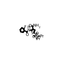 CC(C)N(C(C)C)S(=O)(=O)c1cc(C(N)=O)c(NC(=O)c2ccccc2F)s1